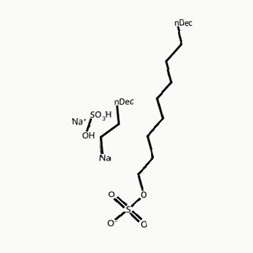 CCCCCCCCCCCCCCCCCCOS(=O)(=O)[O-].CCCCCCCCCCC[CH2][Na].O=S(=O)(O)O.[Na+]